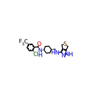 O=C(N[C@H]1CC[C@H](CNc2n[nH]c3c2CSC3)CC1)c1cc(C(F)(F)F)ccc1Cl